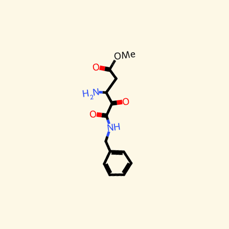 COC(=O)CC(N)C(=O)C(=O)NCc1ccccc1